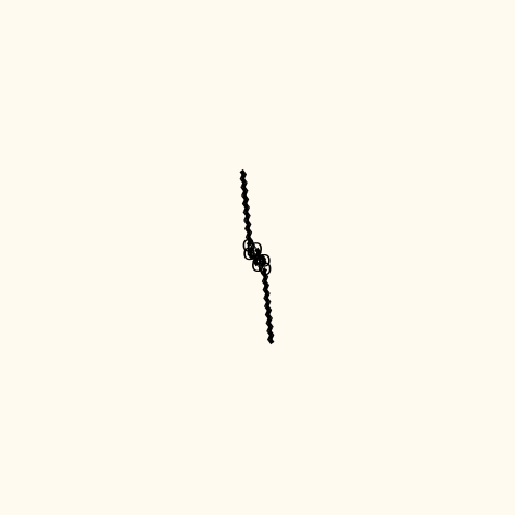 CCCCCCCCCCCCCCCCCCO[P@]1OCC2(CO[P@@](OCCCCCCCCCCCCCCCCCC)OC2)CO1